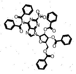 O=C(OC[C@H]1O[C@@H](n2cnc3c(N(C(=O)c4ccccc4)C(=O)c4ccccc4)nc([N+](=O)[O-])nc32)[C@H](OC(=O)c2ccccc2)[C@@H]1OC(=O)c1ccccc1)c1ccccc1